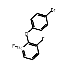 Fc1ccc[12c](F)c1Oc1ccc(Br)cc1